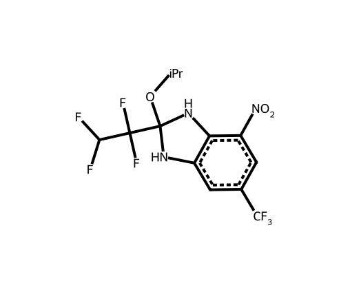 CC(C)OC1(C(F)(F)C(F)F)Nc2cc(C(F)(F)F)cc([N+](=O)[O-])c2N1